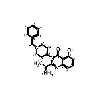 C[C@H](N)c1nc2cccc(Cl)c2c(=O)n1C1CCN(Cc2ccccc2)CC1